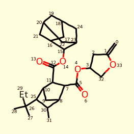 C=C1CC(OC(=O)C2C3CC(C2C(=O)OC2C4CC5CC(C4)CC2C5)C(C(C)(C)CC)C3C)CO1